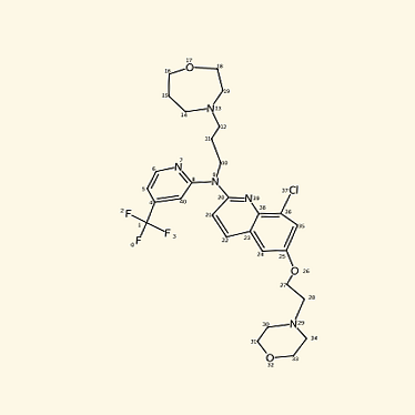 FC(F)(F)c1ccnc(N(CCCN2CCCOCC2)c2ccc3cc(OCCN4CCOCC4)cc(Cl)c3n2)c1